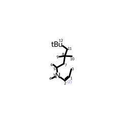 C/C=C\N(C)C(C)CC(C)(C)CC(C)(C)C